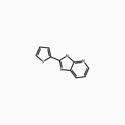 c1csc(C2=Nc3cccnc3[N]2)c1